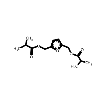 CC(C)C(=O)OCc1ccc(COC(=O)C(C)C)o1